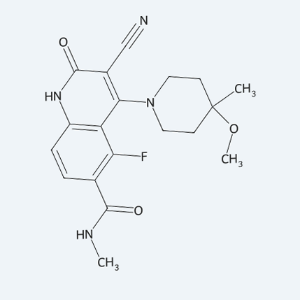 CNC(=O)c1ccc2[nH]c(=O)c(C#N)c(N3CCC(C)(OC)CC3)c2c1F